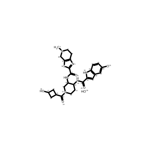 CN1CCc2nc(C(=O)NC3CN(C(=O)C4CC(O)C4)CCC3NC(=O)c3cc4cc(Cl)ccc4[nH]3)sc2C1.Cl